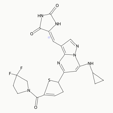 O=C1NC(=O)/C(=C/c2cnn3c(NC4CC4)cc(C4CC=C(C(=O)N5CCC(F)(F)C5)S4)nc23)N1